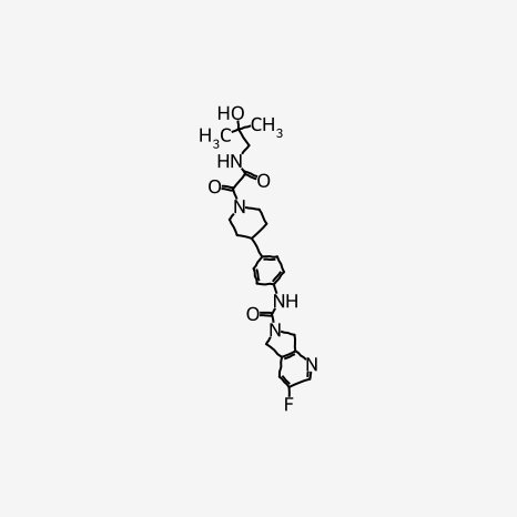 CC(C)(O)CNC(=O)C(=O)N1CCC(c2ccc(NC(=O)N3Cc4cc(F)cnc4C3)cc2)CC1